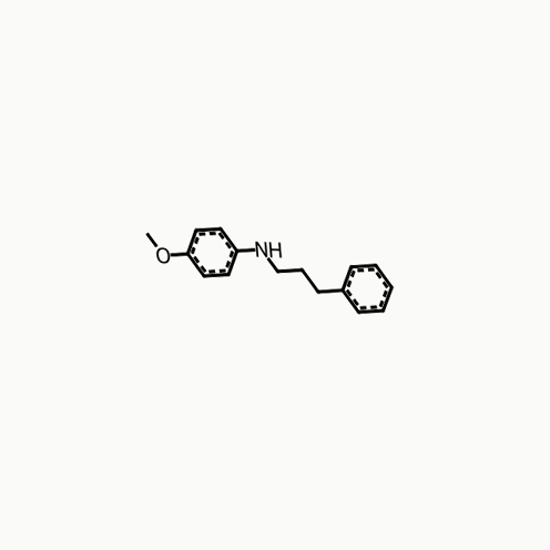 COc1ccc(NCCCc2ccccc2)cc1